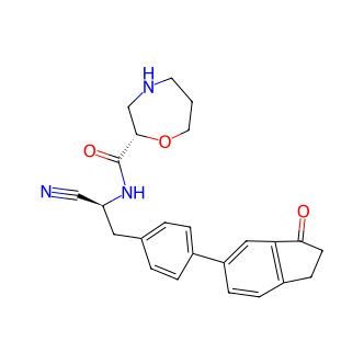 N#C[C@H](Cc1ccc(-c2ccc3c(c2)C(=O)CC3)cc1)NC(=O)[C@@H]1CNCCCO1